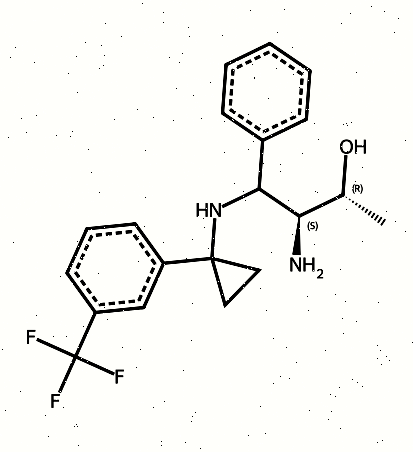 C[C@@H](O)[C@@H](N)C(NC1(c2cccc(C(F)(F)F)c2)CC1)c1ccccc1